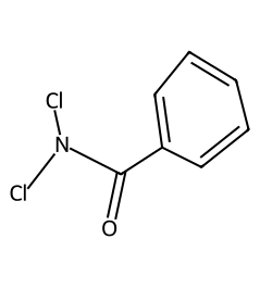 O=C(c1ccccc1)N(Cl)Cl